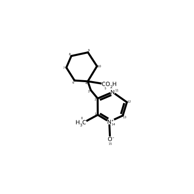 Cc1c(CC2(C(=O)O)CCCCC2)ncc[n+]1[O-]